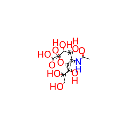 CC(=O)N[C@H]1[C@H]([C@H](O)[C@H](O)CO)O[C@](O)(C(=O)O)C(O)[C@@H]1O